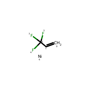 C=CC(F)(F)F.[Ni]